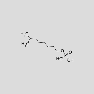 CC(C)CCCCCCOP(=O)(O)O